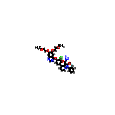 COCCOc1cc2ncnc(Oc3ccc(C4CCCn5c4c(C(N)=O)c(=O)n5-c4ccccc4F)cc3Cl)c2cc1OCCOC